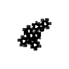 c1cnc(-c2cccc3c2oc2ccccc23)c(-c2cccnc2-n2c3ccccc3n3c4ccccc4nc23)c1